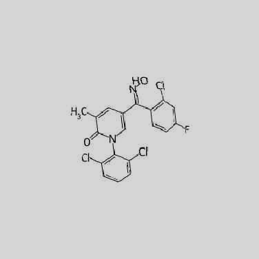 Cc1cc(C(=NO)c2ccc(F)cc2Cl)cn(-c2c(Cl)cccc2Cl)c1=O